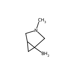 BC12CC1CN(C)C2